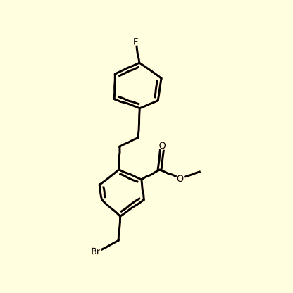 COC(=O)c1cc(CBr)ccc1CCc1ccc(F)cc1